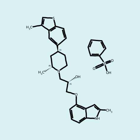 Cc1cc2c(OC[C@@H](O)CN3CC[C@H](c4ccc5scc(C)c5c4)C[C@H]3C)cccc2[nH]1.O=S(=O)(O)c1ccccc1